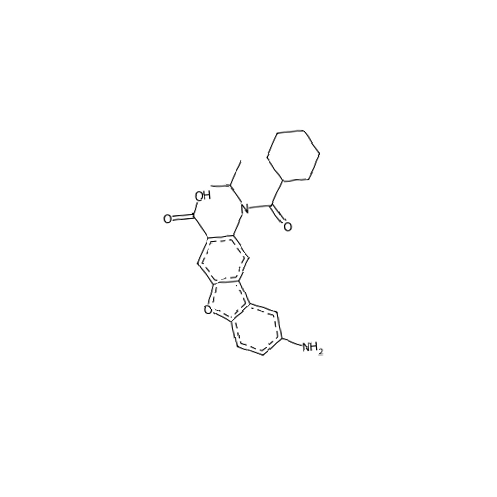 CC(C)N(C(=O)C1CCCCC1)c1cc2c(cc1C(=O)O)oc1ccc(N)cc12